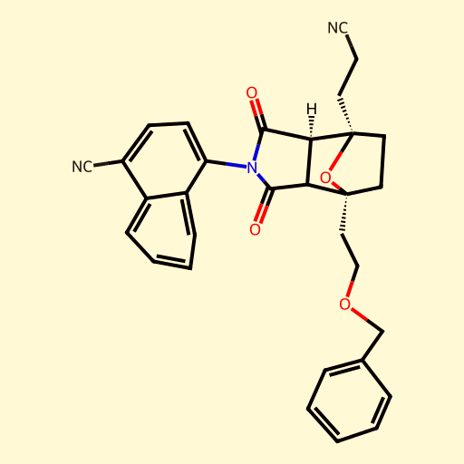 N#CCC[C@]12CC[C@](CCOCc3ccccc3)(O1)C1C(=O)N(c3ccc(C#N)c4ccccc34)C(=O)[C@H]12